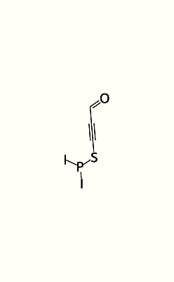 O=CC#CSP(I)I